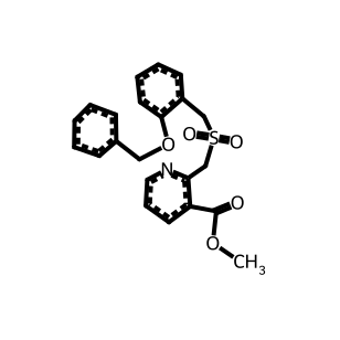 COC(=O)c1cccnc1CS(=O)(=O)Cc1ccccc1OCc1ccccc1